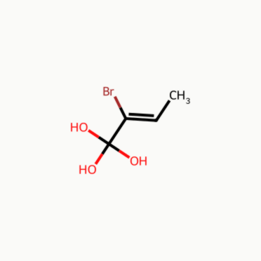 CC=C(Br)C(O)(O)O